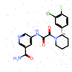 NC(=O)c1cncc(NC(=O)C(=O)N2CCCC[C@H]2c2ccc(F)c(Cl)c2)c1